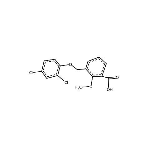 COc1c(COc2ccc(Cl)cc2Cl)cccc1C(=O)O